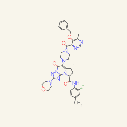 Cc1ncnc(C(=O)N2CCN(c3c4n(c5nc(N6CCOCC6)nn5c3=O)[C@H](C(=O)Nc3ccc(C(F)(F)F)cc3Cl)C[C@H]4C)CC2)c1OCc1ccccc1